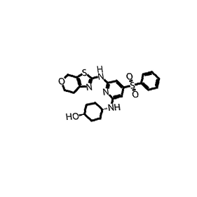 O=S(=O)(c1ccccc1)c1cc(Nc2nc3c(s2)COCC3)nc(N[C@H]2CC[C@H](O)CC2)c1